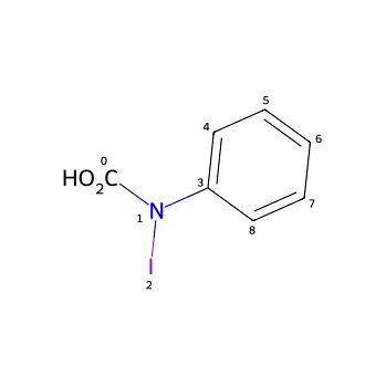 O=C(O)N(I)c1ccccc1